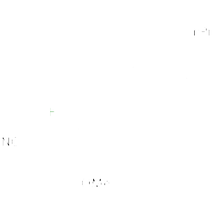 CCCC1CCC(C2CCC(C=C(F)C#N)(OC)CC2)CC1